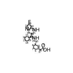 C[C@@H](C(=O)O)c1cccc(CCN[C@H](c2ccccc2)[C@H]2CNc3cc(F)cnc3C2)c1